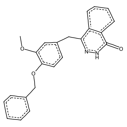 COc1cc(Cc2n[nH]c(=O)c3ccccc23)ccc1OCc1ccccc1